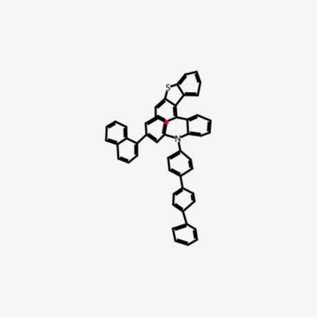 c1ccc(-c2ccc(-c3ccc(N(c4cccc(-c5cccc6ccccc56)c4)c4ccccc4-c4cccc5sc6ccccc6c45)cc3)cc2)cc1